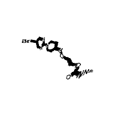 CNC(=O)OCCON=C1CCN(c2ncc(Br)cn2)CC1